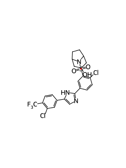 O=S(=O)(c1cc(-c2ncc(-c3ccc(C(F)(F)F)c(Cl)c3)[nH]2)ccc1Cl)N1C2CCC1CC(O)C2